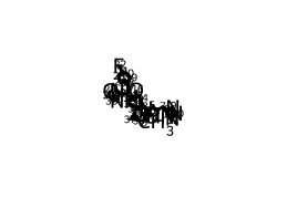 CS(=O)(=O)N(CCCc1nnn[nH]1)c1cc2oc(-c3ccc(F)cc3)c(C3=NOCCN3)c2cc1C1CC1